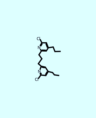 CCCc1cc(Cl)nc(CCCc2cc(CCC)cc(Cl)n2)c1